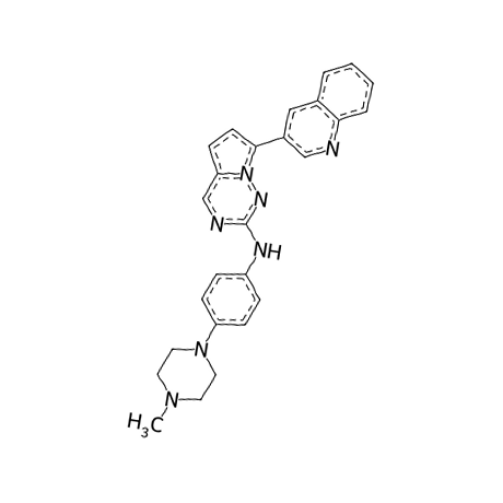 CN1CCN(c2ccc(Nc3ncc4ccc(-c5cnc6ccccc6c5)n4n3)cc2)CC1